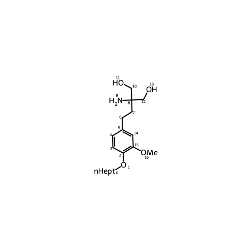 CCCCCCCOc1ccc(CCC(N)(CO)CO)cc1OC